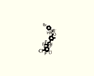 Cc1cc(C2=NOC(c3cc(Cl)c(F)c(Cl)c3)(C(F)(F)F)C2)ccc1C(=O)N[S+]([O-])c1ccc(Br)cc1